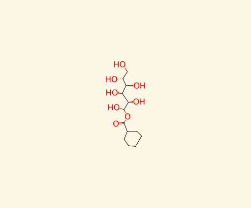 O=C(OC(O)[C@H](O)[C@@H](O)[C@H](O)[C@H](O)CO)C1CCCCC1